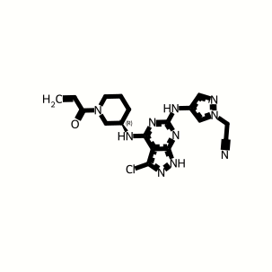 C=CC(=O)N1CCC[C@@H](Nc2nc(Nc3cnn(CC#N)c3)nc3[nH]nc(Cl)c23)C1